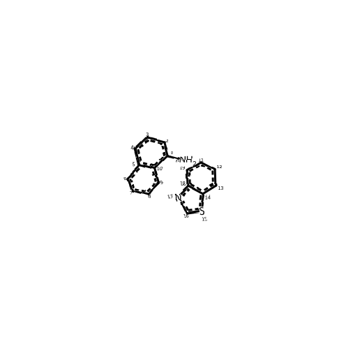 Nc1cccc2ccccc12.c1ccc2scnc2c1